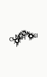 Fc1cc(Cl)c2nc(CN3CCN(Cc4cccc(Cl)c4)CC3)[nH]c2c1